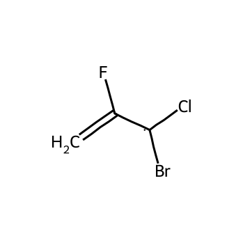 C=C(F)[C](Cl)Br